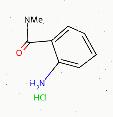 CNC(=O)c1ccccc1N.Cl